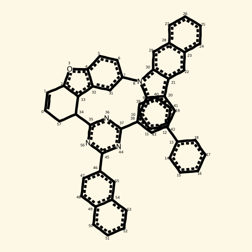 C1=Cc2oc3ccc(-n4c5ccc(-c6ccccc6)cc5c5cc6ccccc6cc54)cc3c2C(c2nc(-c3ccccc3)nc(-c3ccc4ccccc4c3)n2)C1